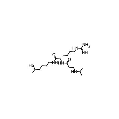 CC(S)CCCCNC(=O)[C@H](CCCCNC(=N)N)NC(=O)CCNC(C)C